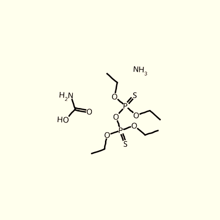 CCOP(=S)(OCC)OP(=S)(OCC)OCC.N.NC(=O)O